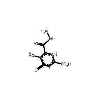 NNC(=O)c1[nH]c(C(=O)O)cc(=O)c1O